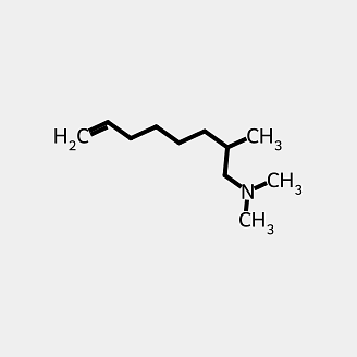 C=CCCCCC(C)CN(C)C